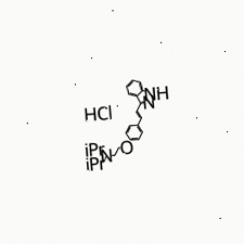 CC(C)N(CCOc1ccc(C=Cc2n[nH]c3ccccc23)cc1)C(C)C.Cl